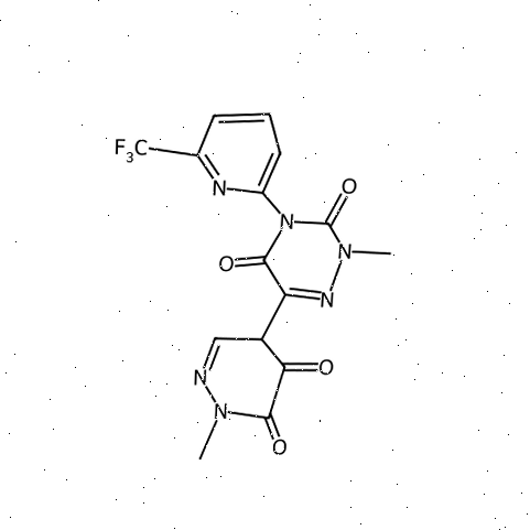 CN1N=CC(c2nn(C)c(=O)n(-c3cccc(C(F)(F)F)n3)c2=O)C(=O)C1=O